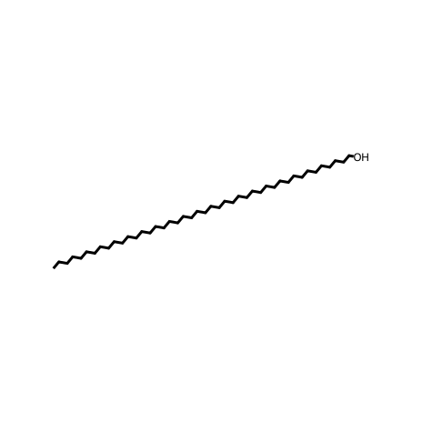 CCCCCCCCCCCCCCCCCCCCCCCCCCCCCCCCCCCCCCCCCCCCO